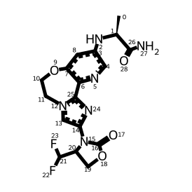 C[C@H](Nc1cnc2c(c1)OCCn1cc(N3C(=O)OCC3C(F)F)nc1-2)C(N)=O